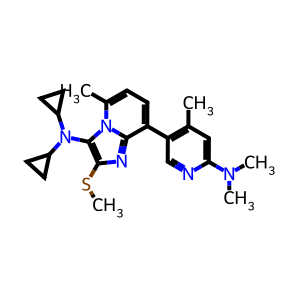 CSc1nc2c(-c3cnc(N(C)C)cc3C)ccc(C)n2c1N(C1CC1)C1CC1